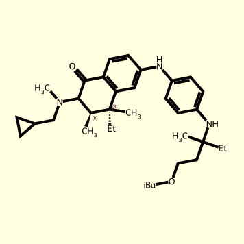 CCC(C)OCCC(C)(CC)Nc1ccc(Nc2ccc3c(c2)[C@](C)(CC)[C@@H](C)C(N(C)CC2CC2)C3=O)cc1